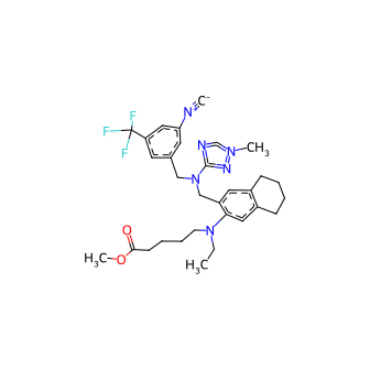 [C-]#[N+]c1cc(CN(Cc2cc3c(cc2N(CC)CCCCC(=O)OC)CCCC3)c2ncn(C)n2)cc(C(F)(F)F)c1